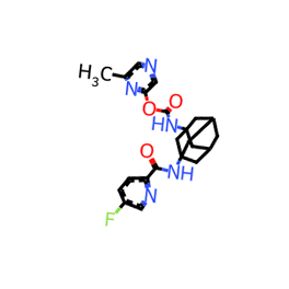 Cc1cncc(OC(=O)NC23CC4CC(C2)CC(NC(=O)c2ccc(F)cn2)(C4)C3)n1